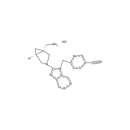 Cl.N#Cc1ccc(Cn2c(N3C[C@H]4C[C@@]4(CN)C3)nc3ccccc32)nc1